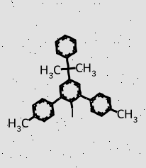 Cc1ccc(-c2cc(C(C)(C)c3ccccc3)cc(-c3ccc(C)cc3)c2I)cc1